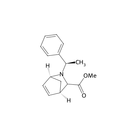 COC(=O)C1[C@H]2C=C[C@H](C2)N1[C@H](C)c1ccccc1